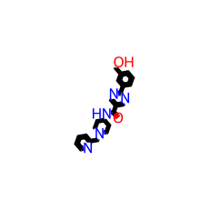 O=C(NC1CCN(Cc2ccccn2)CC1)c1cnc(-c2cccc(CO)c2)nc1